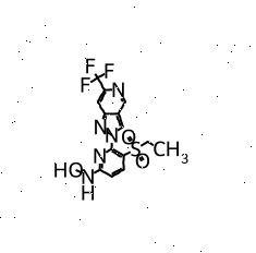 CCS(=O)(=O)c1ccc(NO)nc1-n1cc2cnc(C(F)(F)F)cc2n1